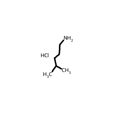 CC(C)CCCN.Cl